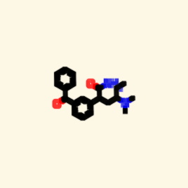 CCC(CC(C(N)=O)c1cccc(C(=O)c2ccccc2)c1)N(C)C